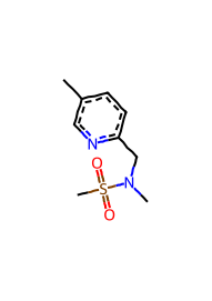 Cc1ccc(CN(C)S(C)(=O)=O)nc1